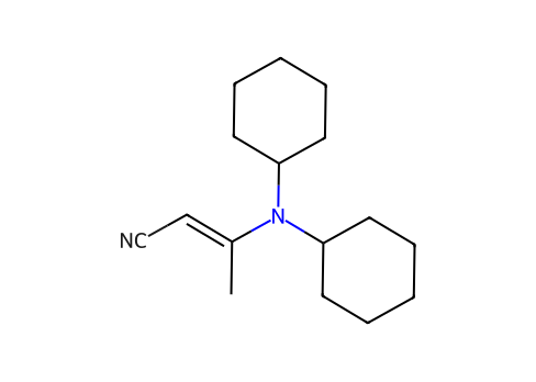 CC(=CC#N)N(C1CCCCC1)C1CCCCC1